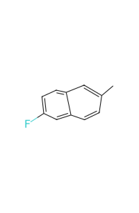 Cc1ccc2cc(F)ccc2c1